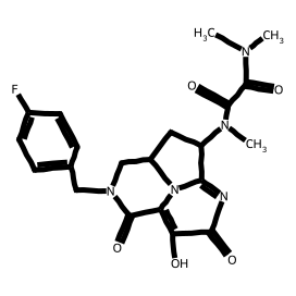 CN(C)C(=O)C(=O)N(C)C1CC2CN(Cc3ccc(F)cc3)C(=O)c3c(O)c(=O)nc1n32